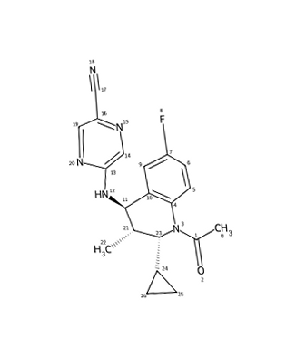 CC(=O)N1c2ccc(F)cc2[C@H](Nc2cnc(C#N)cn2)[C@@H](C)[C@H]1C1CC1